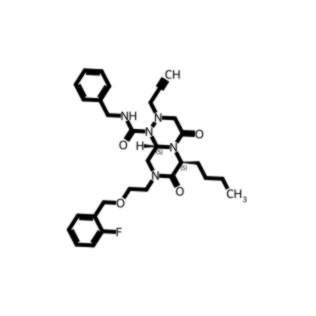 C#CCN1CC(=O)N2[C@@H](CCCC)C(=O)N(CCOCc3ccccc3F)C[C@@H]2N1C(=O)NCc1ccccc1